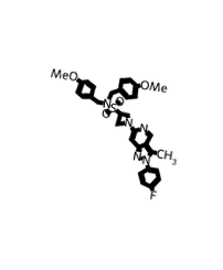 COc1ccc(CN(Cc2ccc(OC)cc2)S(=O)(=O)C2CN(c3cc4nn(-c5ccc(F)cc5)c(C)c4cn3)C2)cc1